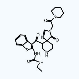 CCNC(=O)Nc1sc2ccccc2c1C(=O)C1CNCCC12N=CN(CC(=O)N1CCCCC1)C2=O